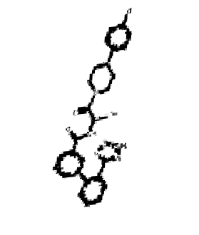 CC(C)[C@@H](NC(=O)c1cccc(-c2ccccc2-c2nn[nH]n2)c1)C(=O)N1CCC(c2ccc(Cl)cc2)CC1